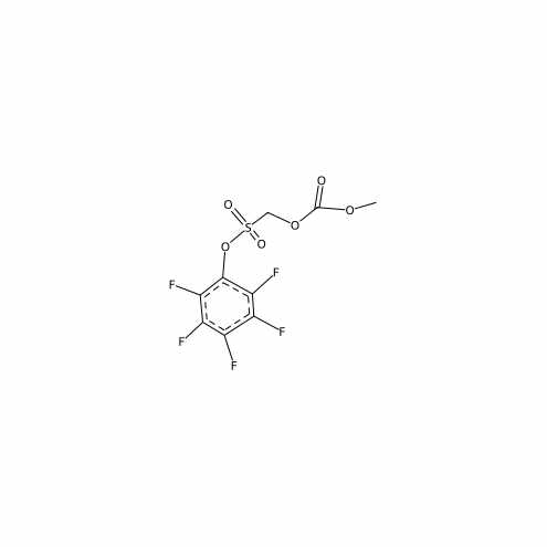 COC(=O)OCS(=O)(=O)Oc1c(F)c(F)c(F)c(F)c1F